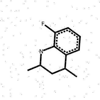 CC1CC(C)c2cccc(F)c2[N]1